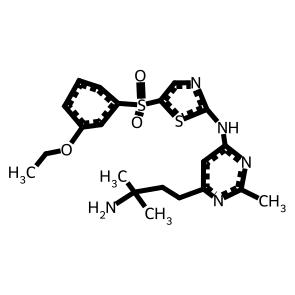 CCOc1cccc(S(=O)(=O)c2cnc(Nc3cc(CCC(C)(C)N)nc(C)n3)s2)c1